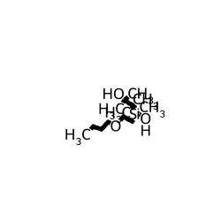 CCCCOCC[Si](C)(O)C(C)(C)C(C)(C)O